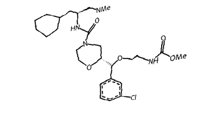 CNC[C@H](CC1CCCCC1)NC(=O)N1CCO[C@@H](C(OCCNC(=O)OC)c2cccc(Cl)c2)C1